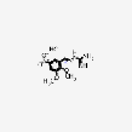 COc1cc([N+](=O)[O-])cc(/C=N/NC(=N)N)c1OC.Cl